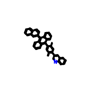 Cc1cc(-c2c3ccccc3c(-c3ccc4ccccc4c3)c3ccccc23)c(C)cc1-c1cnc2ccccc2c1